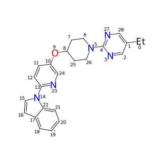 CCc1cnc(N2CCC(Oc3ccc(-n4ccc5c[c]ccc54)nc3)CC2)nc1